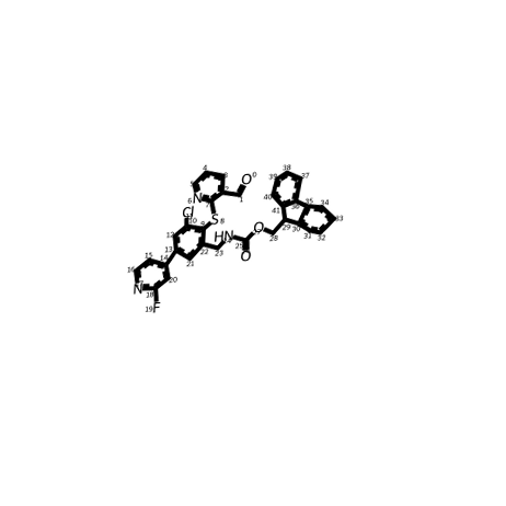 O=Cc1cccnc1Sc1c(Cl)cc(-c2ccnc(F)c2)cc1CNC(=O)OCC1c2ccccc2-c2ccccc21